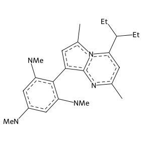 [CH2]CC(CC)c1cc(C)nc2c(-c3c(NC)cc(NC)cc3NC)cc(C)n12